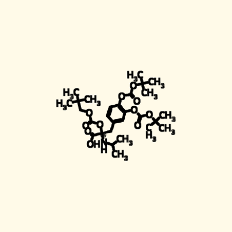 CC(C)N[C@@](Cc1ccc(OC(=O)OC(C)(C)C)c(OC(=O)OC(C)(C)C)c1)(OC(=O)OCC(C)(C)C)C(=O)O